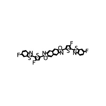 Fc1ccc2nc(-c3sc(-c4nc5cc6cc7oc(-c8cc(F)c(-c9nc%10ccc(F)cc%10s9)s8)nc7cc6cc5o4)cc3F)sc2c1